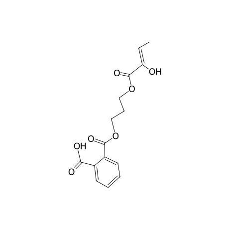 CC=C(O)C(=O)OCCCOC(=O)c1ccccc1C(=O)O